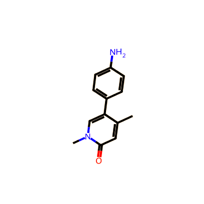 Cc1cc(=O)n(C)cc1-c1ccc(N)cc1